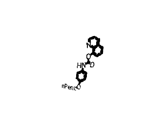 CCCCCOc1ccc(NC(=O)Oc2cccc3cccnc23)cc1